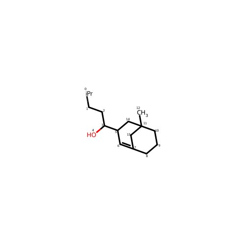 CC(C)CCC(O)C1C=C2CCCC(C)(C2)C1